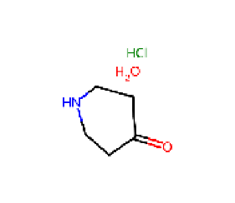 Cl.O.O=C1CCNCC1